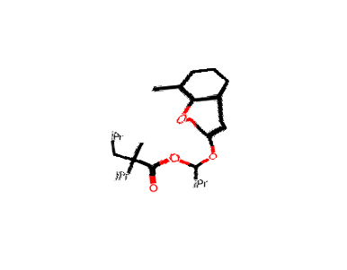 CC(C)CC(C)(C(=O)OC(OC1CC2CCCC(C)C2O1)C(C)C)C(C)C